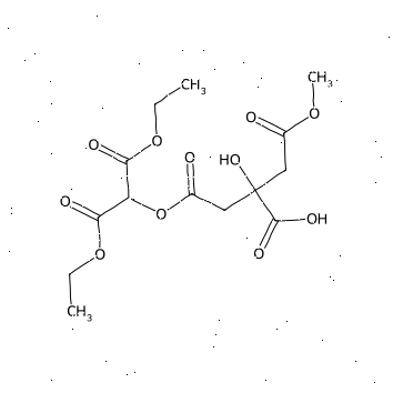 CCOC(=O)C(OC(=O)CC(O)(CC(=O)OC)C(=O)O)C(=O)OCC